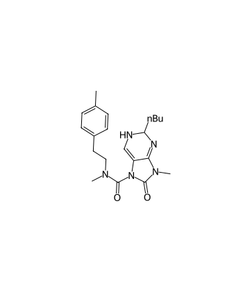 CCCCC1N=c2c(n(C(=O)N(C)CCc3ccc(C)cc3)c(=O)n2C)=CN1